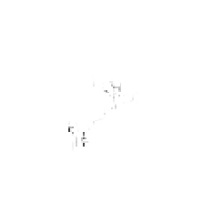 CCCCC[P+](CC)(CC)CC.F[B-](F)(F)F